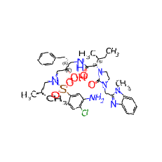 CC[C@H](C)[C@@H](C(=O)N[C@@H](Cc1ccccc1)[C@H](O)CN(CC(C)C)S(=O)(=O)c1ccc(Cl)c(N)c1)N1CCN(Cc2nc3ccccc3n2C)C1=O